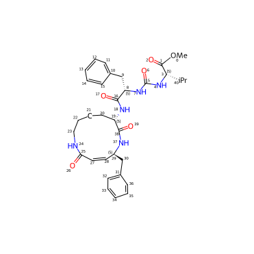 COC(=O)[C@@H](NC(=O)N[C@@H](Cc1ccccc1)C(=O)N[C@H]1CCCCNC(=O)C=C[C@H](Cc2ccccc2)NC1=O)C(C)C